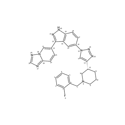 Fc1ccccc1CN1CCC[C@@H](c2cn(-c3ccc4[nH]nc(-c5ccc6ncnn6c5)c4c3)nn2)C1